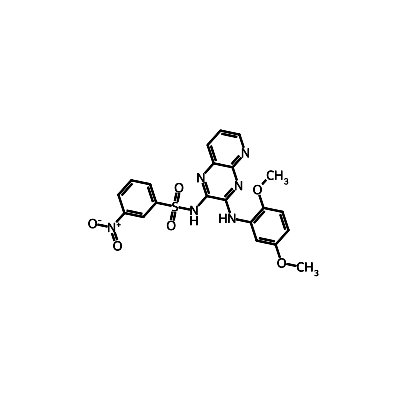 COc1ccc(OC)c(Nc2nc3ncccc3nc2NS(=O)(=O)c2cccc([N+](=O)[O-])c2)c1